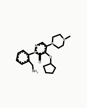 CN1CCN(c2cnn(-c3ccccc3CN)c(=O)c2OC2CCCC2)CC1